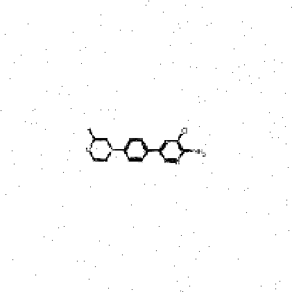 CC1CN(c2ccc(-c3cnc(N)c(Cl)c3)cc2)CCO1